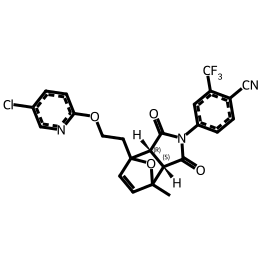 CC12C=CC(CCOc3ccc(Cl)cn3)(O1)[C@@H]1C(=O)N(c3ccc(C#N)c(C(F)(F)F)c3)C(=O)[C@@H]12